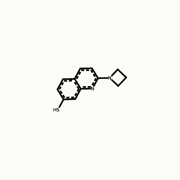 Sc1ccc2ccc(N3CCC3)nc2c1